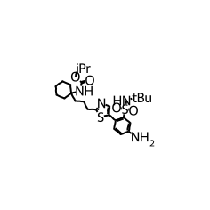 CC(C)OC(=O)NC1(CCCc2ncc(-c3ccc(N)cc3S(=O)(=O)NC(C)(C)C)s2)CCCCC1